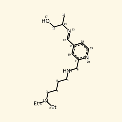 CCN(CC)CCCCNCc1cc(/C=N/C(C)CO)ccn1